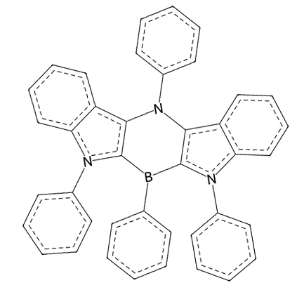 c1ccc(B2c3c(c4ccccc4n3-c3ccccc3)N(c3ccccc3)c3c2n(-c2ccccc2)c2ccccc32)cc1